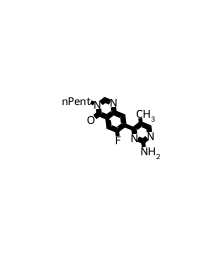 CCCCCn1cnc2cc(-c3nc(N)ncc3C)c(F)cc2c1=O